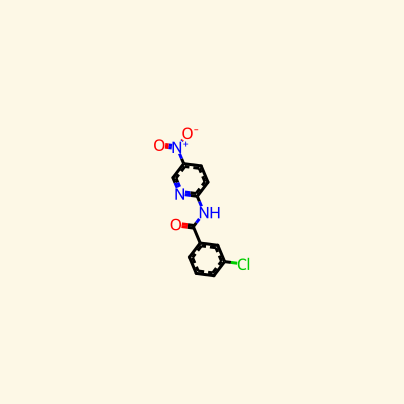 O=C(Nc1ccc([N+](=O)[O-])cn1)c1cccc(Cl)c1